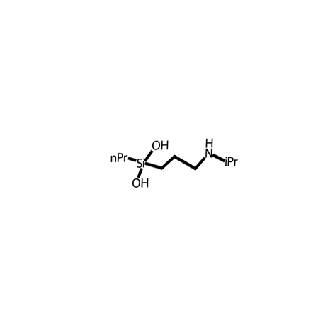 CCC[Si](O)(O)CCCNC(C)C